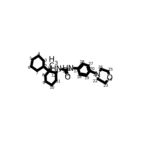 CC1(C2CCCCC2)CCCCC1NC(=O)Nc1ccc(N2CCOCC2)cc1